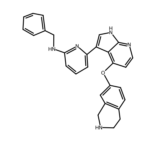 c1ccc(CNc2cccc(-c3c[nH]c4nccc(Oc5ccc6c(c5)CNCC6)c34)n2)cc1